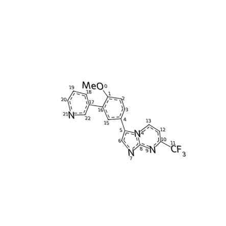 COc1ccc(-c2cnc3nc(C(F)(F)F)ccn23)cc1-c1cccnc1